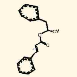 N#CC(Cc1ccccc1)OC(=O)/C=C/c1ccccc1